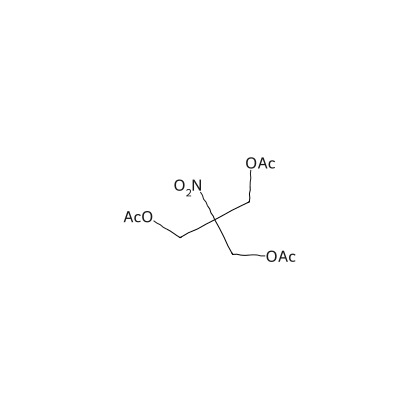 CC(=O)OCC(COC(C)=O)(COC(C)=O)[N+](=O)[O-]